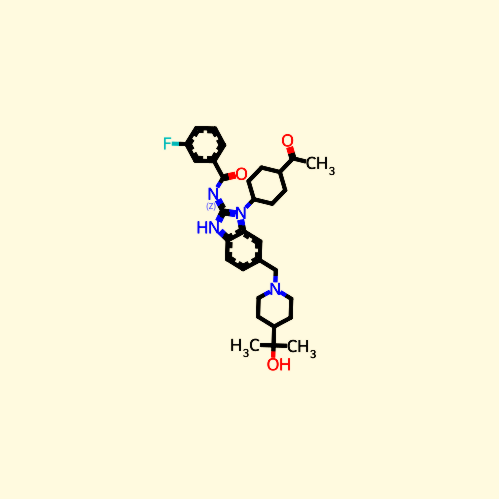 CC(=O)C1CCC(n2/c(=N\C(=O)c3cccc(F)c3)[nH]c3ccc(CN4CCC(C(C)(C)O)CC4)cc32)CC1